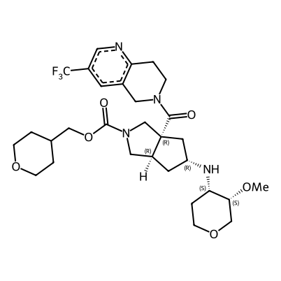 CO[C@@H]1COCC[C@@H]1N[C@@H]1C[C@H]2CN(C(=O)OCC3CCOCC3)C[C@@]2(C(=O)N2CCc3ncc(C(F)(F)F)cc3C2)C1